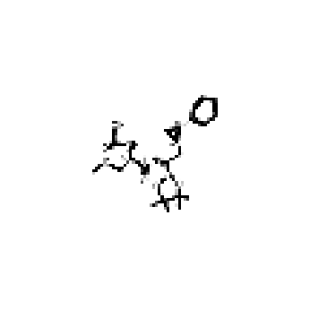 COC[C@@H](NC(=O)O)C(=O)N[C@@H](C[C@H]1C[C@@H]1c1ccccc1)B1OC(C)(C)C(C)(C)O1